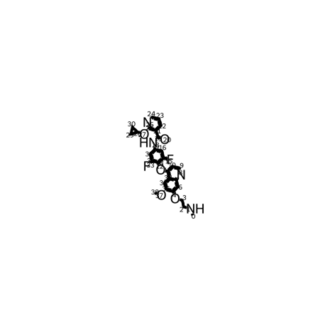 CNCCOc1cc2nccc(Oc3c(F)cc(NC(=O)c4cccnc4OC4CC4)cc3F)c2cc1OC